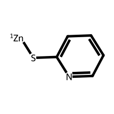 [1Zn][S]c1ccccn1